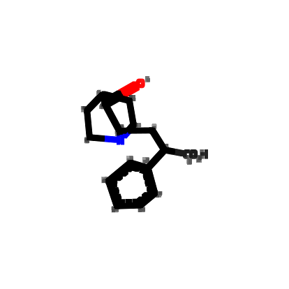 O=C(O)C(CC1C(=O)C2CCN1CC2)c1ccccc1